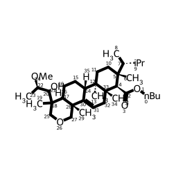 CCCCOC(=O)[C@@H]1[C@@](C)([C@H](C)C(C)C)CC[C@]2(C)[C@H]3CC[C@H]4C(C)([C@@H](O)[C@@H](C)OC)COC[C@@]4(C)C3=CC[C@@]12C